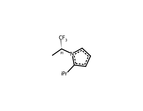 CC(C)c1cccn1[C@H](C)C(F)(F)F